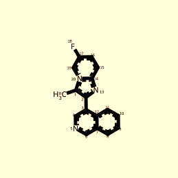 Cc1c(-c2cncc3ccccc23)nc2ccc(F)cn12